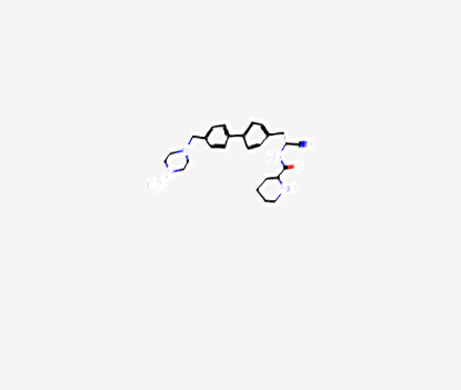 CN1CCN(Cc2ccc(-c3ccc(C[C@@H](C#N)NC(=O)C4CCCCN4)cc3)cc2)CC1